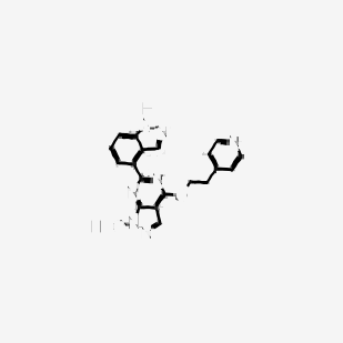 Cn1ncc2c(OCCc3ccncc3)nc(-c3cccc4[nH]ncc34)nc21